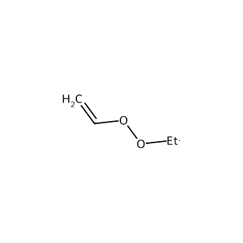 C=COO[CH]C